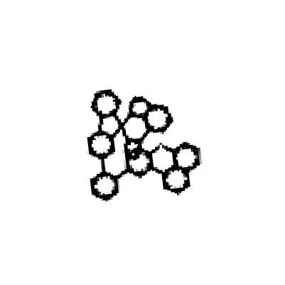 c1ccc(-c2ccc3c(c2)C2(c4ccccc4-3)c3ccccc3-c3cccc4cccc2c34)c(-c2ccc3c(c2)-c2cccc4cccc(c24)O3)c1